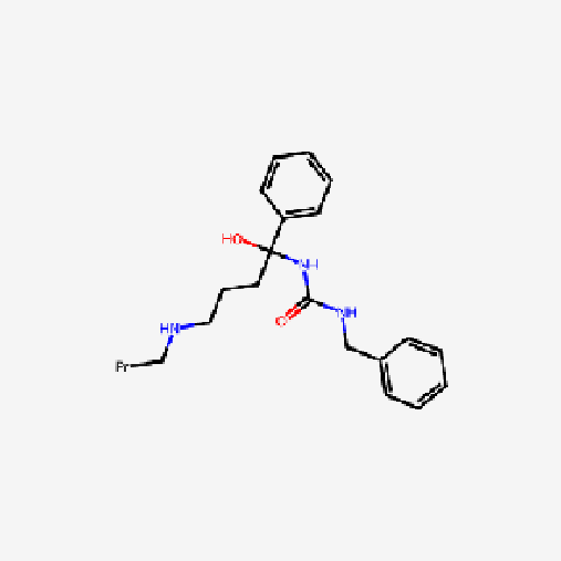 CC(C)CNCCCC(O)(NC(=O)NCc1ccccc1)c1ccccc1